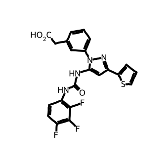 O=C(O)Cc1cccc(-n2nc(-c3cccs3)cc2NC(=O)Nc2ccc(F)c(F)c2F)c1